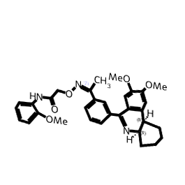 COc1ccccc1NC(=O)CO/N=C(/C)c1cccc(C2=N[C@@H]3CCCC[C@@H]3c3cc(OC)c(OC)cc32)c1